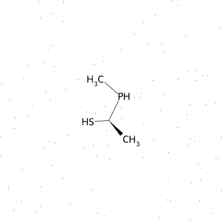 CP[C@@H](C)S